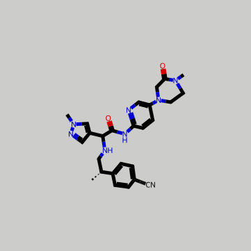 C[C@H](CNC(C(=O)Nc1ccc(N2CCN(C)C(=O)C2)cn1)c1cnn(C)c1)c1ccc(C#N)cc1